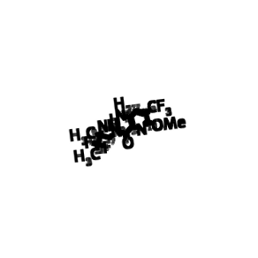 COc1nc(C(=O)NCC(C)(N)C(C)(F)F)c(N)cc1C(F)(F)F